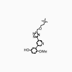 COc1ccc(O)cc1-c1cncc(-c2nnn(COCC[Si](C)(C)C)n2)c1